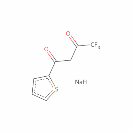 O=C(CC(=O)C(F)(F)F)c1cccs1.[NaH]